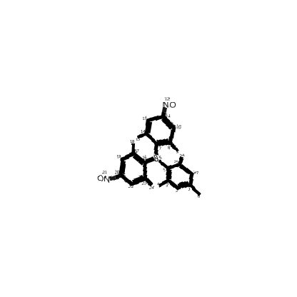 Cc1cc(C)c(B(c2c(C)cc(N=O)cc2C)c2c(C)cc(N=O)cc2C)c(C)c1